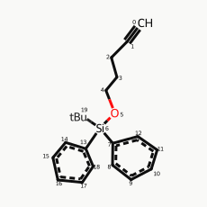 C#CCCCO[Si](c1ccccc1)(c1ccccc1)C(C)(C)C